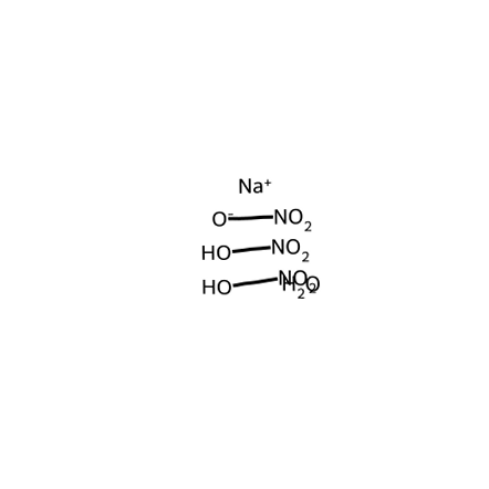 O.O=[N+]([O-])O.O=[N+]([O-])O.O=[N+]([O-])[O-].[Na+]